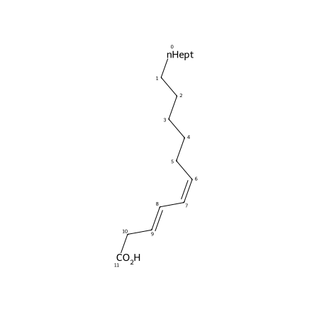 CCCCCCCCCCCC/C=C\C=C\CC(=O)O